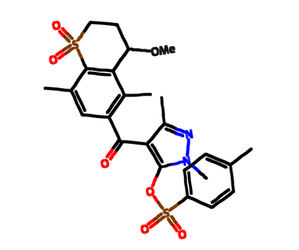 COC1CCS(=O)(=O)c2c(C)cc(C(=O)c3c(C)nn(C)c3OS(=O)(=O)c3ccc(C)cc3)c(C)c21